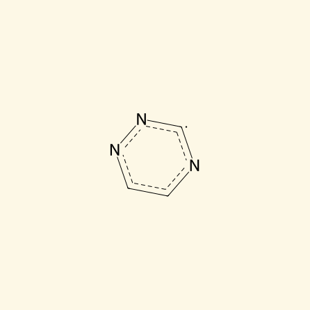 [c]1nccnn1